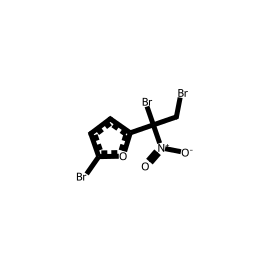 O=[N+]([O-])C(Br)(CBr)c1ccc(Br)o1